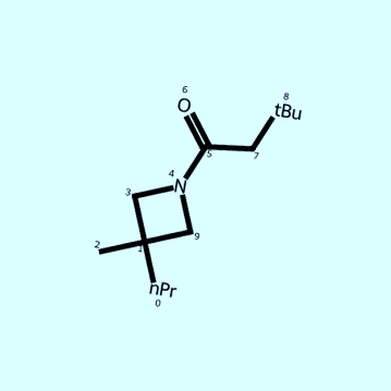 CCCC1(C)CN(C(=O)CC(C)(C)C)C1